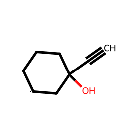 C#CC1(O)C[CH]CCC1